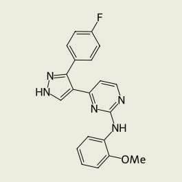 COc1ccccc1Nc1nccc(-c2c[nH]nc2-c2ccc(F)cc2)n1